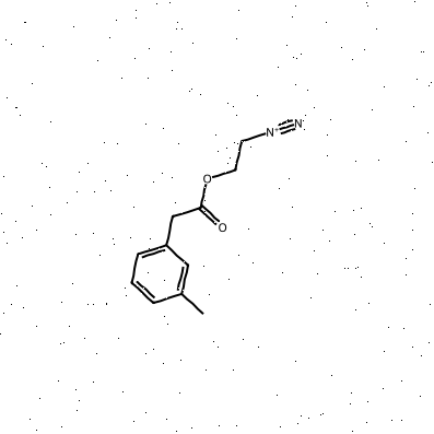 Cc1cccc(CC(=O)OCC[N+]#N)c1